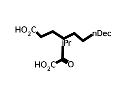 CC(C)C(=O)C(=O)O.CCCCCCCCCCCCCCCC(=O)O